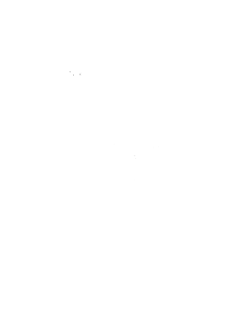 CCCCCCCCCCCCOC(=O)C(S)CC1CCCCC1